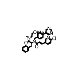 COCCN(C)C(=O)[C@H](Cc1ccccc1)N(Cc1ccc(-c2cncnc2)cc1)C(=O)/C=C/c1ccc(Cl)nc1